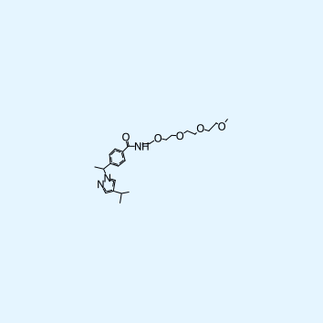 COCCOCCOCCOCCNC(=O)c1ccc(C(C)n2cc(C(C)C)cn2)cc1